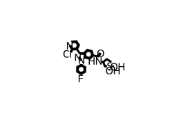 O=C(NC1CCS(O)(O)C1)c1ccc2c(-c3cccnc3Cl)nn(-c3ccc(F)cc3)c2c1